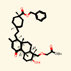 CC1=CC(=O)[C@@H]2[C@@]3(C)CC[C@H](O)[C@@](C)(COCC(=O)OCC(C)C)[C@@H]3CC[C@@]2(C)[C@]1(C)CC[C@]1(C)CC[C@@](C)(C(=O)OCc2ccccc2)CC1